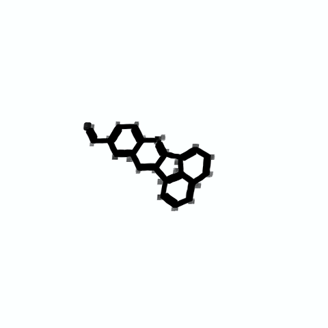 O=Cc1ccc2nc3c(cc2c1)-c1cccc2cccc-3c12